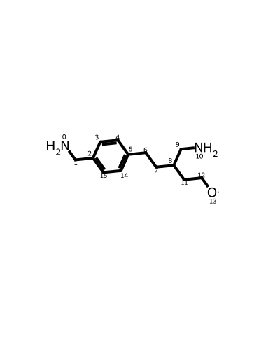 NCc1ccc(CCC(CN)CC[O])cc1